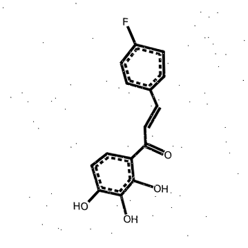 O=C(C=Cc1ccc(F)cc1)c1ccc(O)c(O)c1O